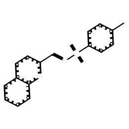 Cc1ccc(S(=O)(=O)N=Cc2ccc3ccccc3n2)cc1